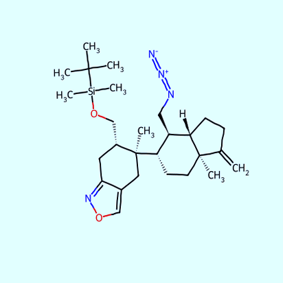 C=C1CC[C@H]2[C@H](CN=[N+]=[N-])[C@@H]([C@@]3(C)Cc4conc4C[C@@H]3CO[Si](C)(C)C(C)(C)C)CC[C@]12C